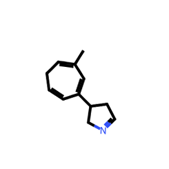 CC1=CCC=CC(C2CC=NC2)=C1